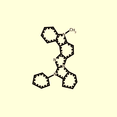 Cn1c2ccccc2c2c3nc4n(-c5ccccc5)c5ccccc5n4c3ccc21